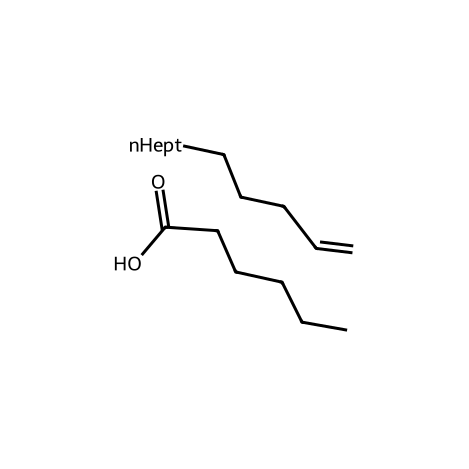 C=CCCCCCCCCCC.CCCCCC(=O)O